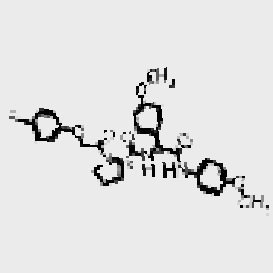 COc1ccc(NC(=O)[C@@H](NC(=O)[C@@H]2CCCN2C(=O)COc2ccc(F)cc2)c2ccc(OC)cc2)cc1